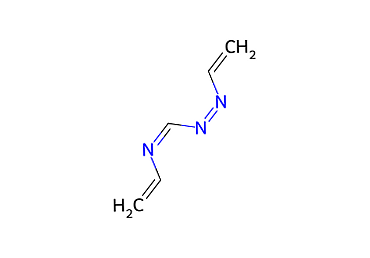 C=C/N=C\N=N/C=C